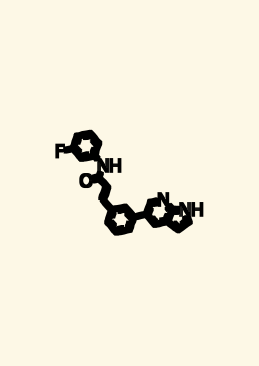 O=C(C=Cc1cccc(-c2cnc3[nH]ccc3c2)c1)Nc1cccc(F)c1